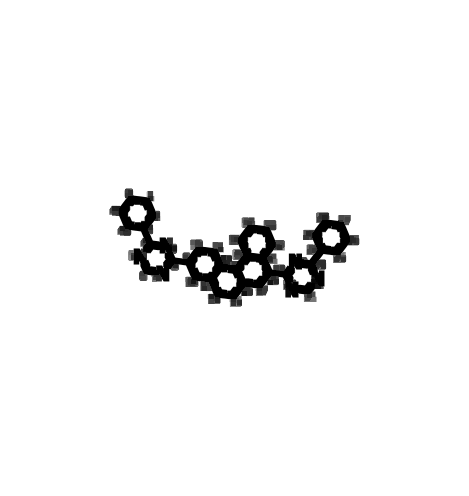 c1ccc(-c2ncnc(-c3ccc4c(ccc5cc(-c6ncnc(-c7ccccc7)n6)c6ccccc6c54)c3)n2)cc1